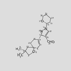 CC1(C)COC2(CC=C(c3nn(C4CCCCO4)cc3C=O)CC2)C1